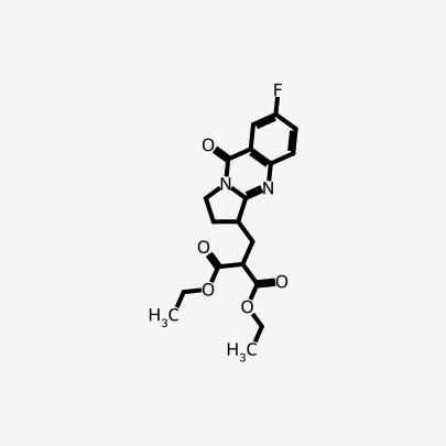 CCOC(=O)C(CC1CCn2c1nc1ccc(F)cc1c2=O)C(=O)OCC